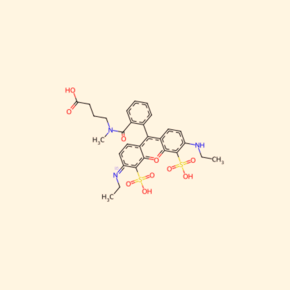 CC/N=c1/ccc2c(-c3ccccc3C(=O)N(C)CCCC(=O)O)c3ccc(NCC)c(S(=O)(=O)O)c3oc-2c1S(=O)(=O)O